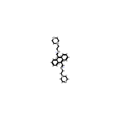 C(=N\CCN1CCOCC1)/c1c2ccccc2c(/C=N/CCN2CCOCC2)c2ccccc12